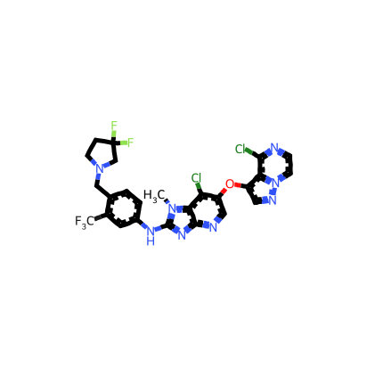 Cn1c(Nc2ccc(CN3CCC(F)(F)C3)c(C(F)(F)F)c2)nc2ncc(Oc3cnn4ccnc(Cl)c34)c(Cl)c21